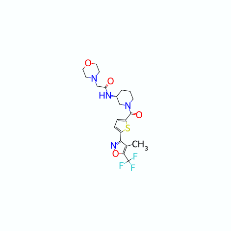 Cc1c(-c2ccc(C(=O)N3CCC[C@H](NC(=O)CN4CCOCC4)C3)s2)noc1C(F)(F)F